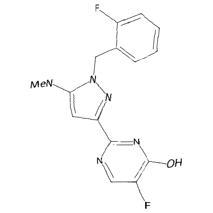 CNc1cc(-c2ncc(F)c(O)n2)nn1Cc1ccccc1F